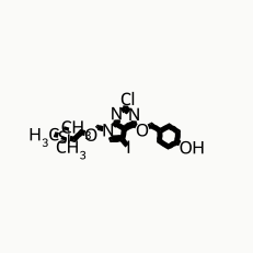 C[Si](C)(C)CCOCn1cc(I)c2c(OCC3CCC(O)CC3)nc(Cl)nc21